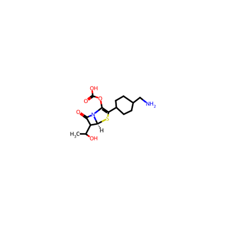 CC(O)C1C(=O)N2C(OC(=O)O)=C(C3CCC(CN)CC3)S[C@@H]12